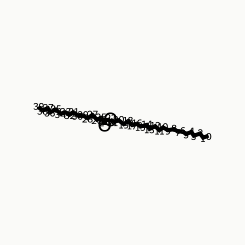 CCCCCCCCCCCCCCCCCCCCCCOC(=O)CCCCCCCCCCCCCCC